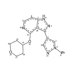 CC(C)n1cc(-c2n[nH]c3ccnc(OC4CCOCC4)c23)cn1